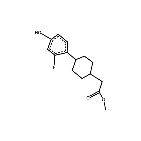 COC(=O)CC1CCC(c2ccc(O)cc2F)CC1